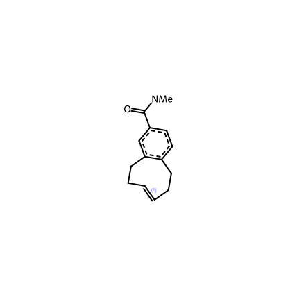 CNC(=O)c1ccc2c(c1)CC/C=C/CC2